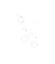 N[C@]1(C(=O)Nc2cccc(Cl)c2)[C@@H](c2cccc(Cl)c2F)[C@@H]2C(=O)N(c3ccc([N+](=O)[O-])c(F)c3)CC2N1CC1CC1